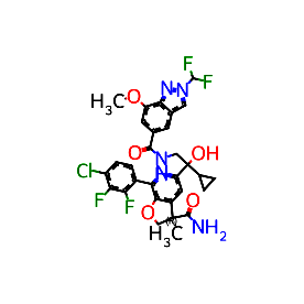 COc1cc(C(=O)NCC(O)(c2cc3c(c(-c4ccc(Cl)c(F)c4F)n2)OC[C@]3(C)C(N)=O)C2CC2)cc2cn(C(F)F)nc12